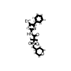 CCc1sc(NC(=O)C(C)(C)S(=O)(=O)CC2CCOCC2)nc1-c1ccccc1